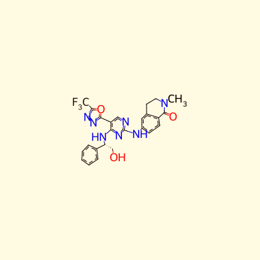 CN1CCc2cc(Nc3ncc(-c4nnc(C(F)(F)F)o4)c(N[C@H](CO)c4ccccc4)n3)ccc2C1=O